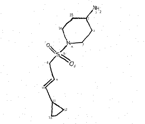 NC1CCN(S(=O)(=O)CC=CC2CC2)CC1